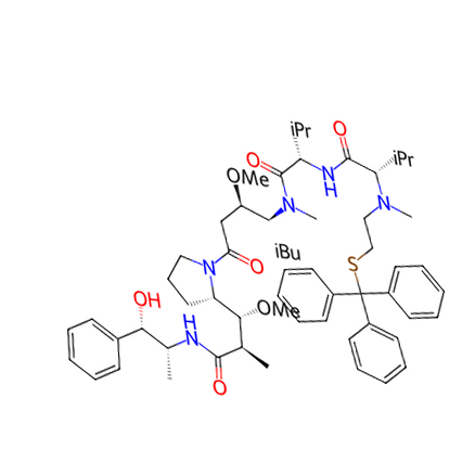 CC[C@H](C)[C@@H]([C@@H](CC(=O)N1CCC[C@H]1[C@H](OC)[C@@H](C)C(=O)N[C@H](C)[C@@H](O)c1ccccc1)OC)N(C)C(=O)[C@@H](NC(=O)[C@H](C(C)C)N(C)CCSC(c1ccccc1)(c1ccccc1)c1ccccc1)C(C)C